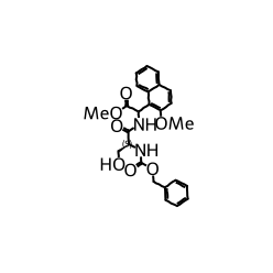 COC(=O)C(NC(=O)[C@H](CO)NC(=O)OCc1ccccc1)c1c(OC)ccc2ccccc12